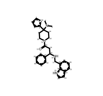 CN(C)C1(c2cccs2)CCN(C(=O)CC(NCc2cccc3cc[nH]c23)c2ccccc2)CC1